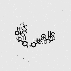 COC(=O)N[C@H](C(=O)N1CCCC1c1ncc(-c2ccc(Oc3ccc(-c4cnc([C@@H]5CCCN5C(=O)[C@@H](NC(=O)OC)C(C)C)[nH]4)cc3)cc2)[nH]1)C(C)C